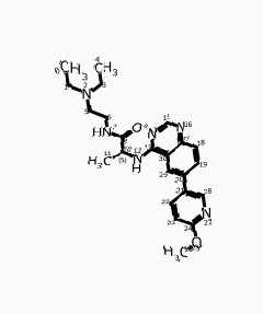 CCN(CC)CCNC(=O)[C@H](C)Nc1ncnc2ccc(-c3ccc(OC)nc3)cc12